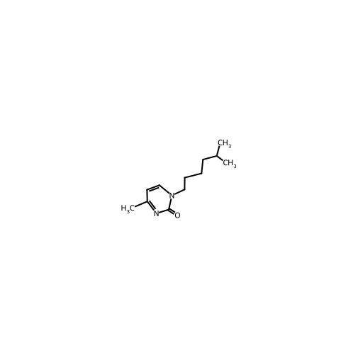 Cc1ccn(CCCCC(C)C)c(=O)n1